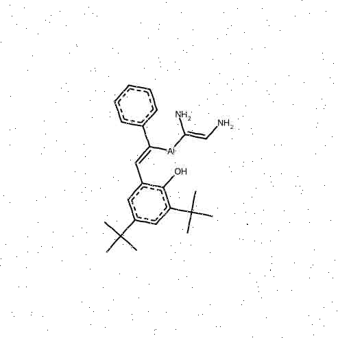 CC(C)(C)c1cc(C=[C]([Al][C](N)=CN)c2ccccc2)c(O)c(C(C)(C)C)c1